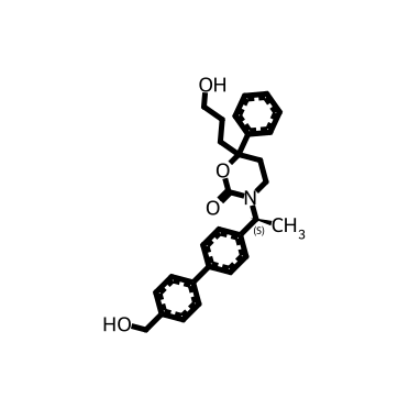 C[C@@H](c1ccc(-c2ccc(CO)cc2)cc1)N1CCC(CCCO)(c2ccccc2)OC1=O